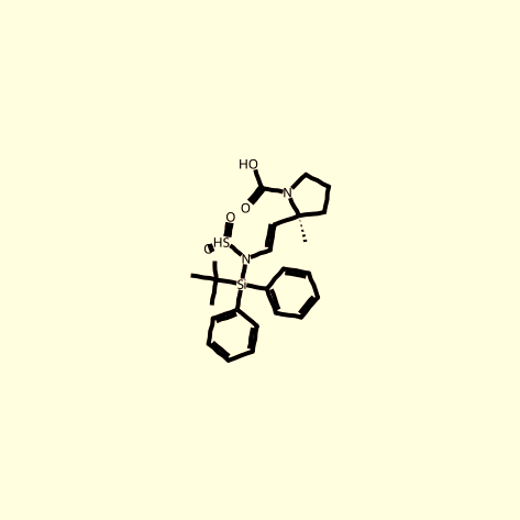 CC(C)(C)[Si](c1ccccc1)(c1ccccc1)N(/C=C/[C@]1(C)CCCN1C(=O)O)[SH](=O)=O